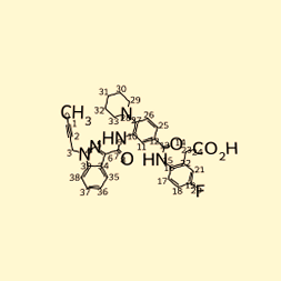 CC#CCn1nc(C(=O)Nc2cc(C(=O)Nc3ccc(F)cc3CC(=O)O)ccc2N2CCCCC2)c2ccccc21